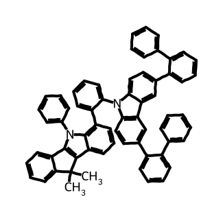 CC1(C)c2ccccc2-c2c1c1cccc(-c3ccccc3-n3c4ccc(-c5ccccc5-c5ccccc5)cc4c4cc(-c5ccccc5-c5ccccc5)ccc43)c1n2-c1ccccc1